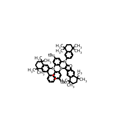 CC(C)(C)c1ccc2c(c1)B1c3c(cc(C(C)(C)C)cc3N(c3ccc4c(c3)C(C)(C)CCC4(C)C)c3oc4cc5c(cc4c31)C(C)(C)CCC5(C)C)N2c1cc2c(cc1-c1ccccc1)C(C)(C)CCC2(C)C